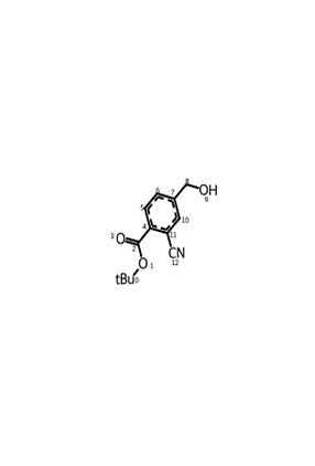 CC(C)(C)OC(=O)c1ccc(CO)cc1C#N